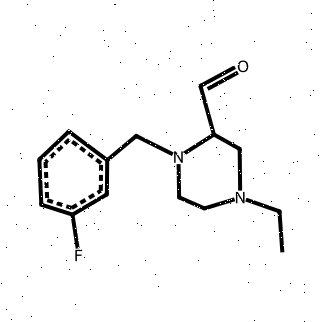 CCN1CCN(Cc2cccc(F)c2)C(C=O)C1